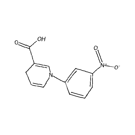 O=C(O)C1=CN(c2cccc([N+](=O)[O-])c2)C=CC1